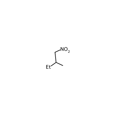 CCC(C)C[N+](=O)[O-]